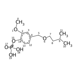 COc1cc(COCCC(C)C)ccc1OP(=O)(O)O